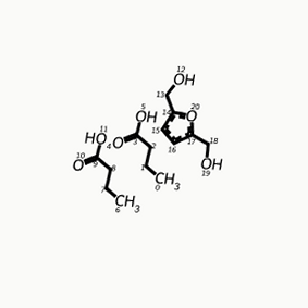 CCCC(=O)O.CCCC(=O)O.OCc1ccc(CO)o1